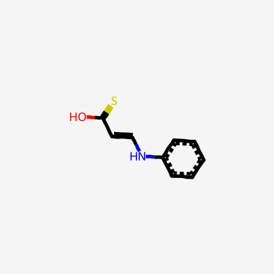 OC(=S)C=CNc1ccccc1